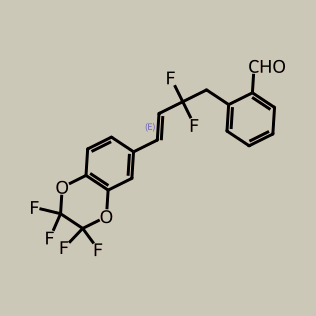 O=Cc1ccccc1CC(F)(F)/C=C/c1ccc2c(c1)OC(F)(F)C(F)(F)O2